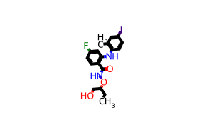 CCC(CO)ONC(=O)c1ccc(F)cc1Nc1ccc(I)cc1C